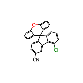 N#Cc1ccc2c(c1)-c1c(Cl)cccc1C21c2ccccc2Oc2ccccc21